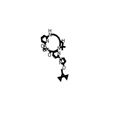 CC1(C)C[C@H]2CCCNc3cccc(n3)S(=O)(=O)NC(=O)c3ccc(-n4ccc(OCC5C6(CC6)C56CC6)n4)nc3N1C2